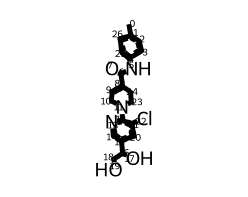 Cc1ccc(NC(=O)C2=CCN(c3ncc(C(O)CO)cc3Cl)CC2)cc1